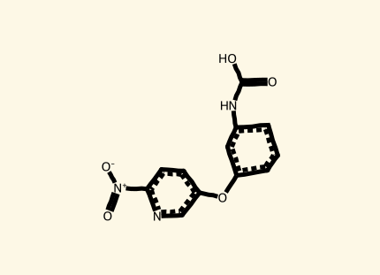 O=C(O)Nc1cccc(Oc2ccc([N+](=O)[O-])nc2)c1